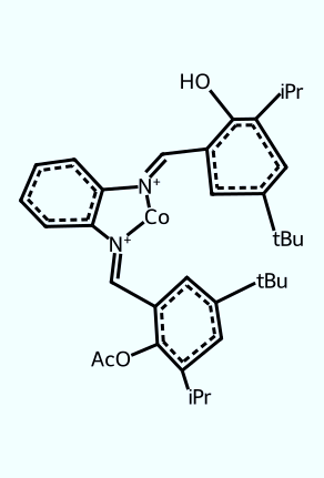 CC(=O)Oc1c(C=[N+]2[Co][N+](=Cc3cc(C(C)(C)C)cc(C(C)C)c3O)c3ccccc32)cc(C(C)(C)C)cc1C(C)C